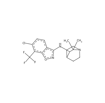 CC1(C)C(Nc2noc3c(C(F)(F)F)c(Cl)ccc23)C2CCN1CC2